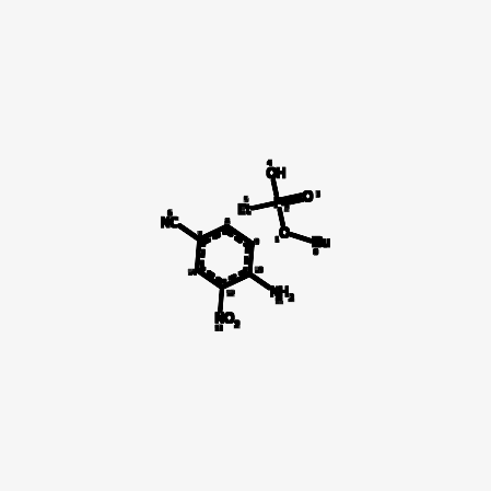 CCC(C)OP(=O)(O)CC.N#Cc1ccc(N)c([N+](=O)[O-])c1